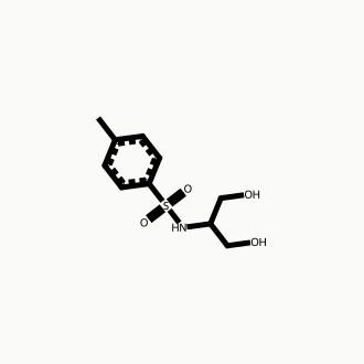 Cc1ccc(S(=O)(=O)NC(CO)CO)cc1